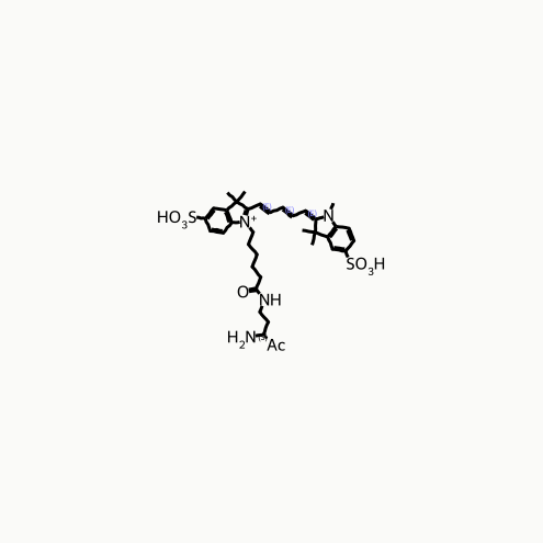 CC(=O)[C@@H](N)CCNC(=O)CCCCC[N+]1=C(/C=C/C=C/C=C2/N(C)c3ccc(S(=O)(=O)O)cc3C2(C)C)C(C)(C)c2cc(S(=O)(=O)O)ccc21